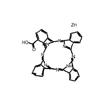 O=C(O)c1cccc2c3nc4nc(nc5[nH]c(nc6nc(nc([nH]3)c12)-c1ccccc1-6)c1ccccc51)-c1ccccc1-4.[Zn]